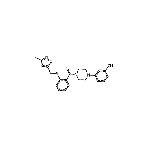 Cc1cc(CSc2ccccc2C(=O)N2CCN(c3cccc(O)c3)CC2)on1